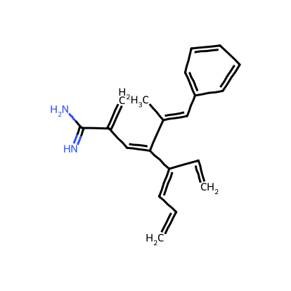 C=C/C=C(C=C)/C(=C/C(=C)C(=N)N)C(/C)=C/c1ccccc1